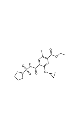 CCOC(=O)c1cc(OC2CC2)c(C(=O)NS(=O)(=O)N2CCCC2)cc1F